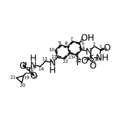 O=C1CN(c2c(O)cc3ccc(NCCNS(=O)(=O)C4CC4)cc3c2F)S(=O)(=O)N1